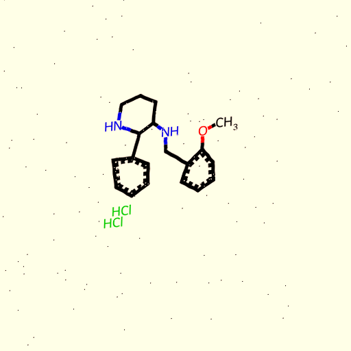 COc1ccccc1CNC1CCCNC1c1ccccc1.Cl.Cl